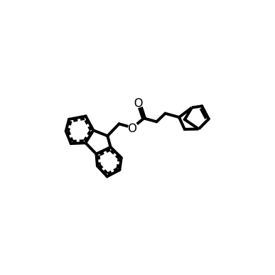 O=C(CCC1CC2C=CC1C2)OCC1c2ccccc2-c2ccccc21